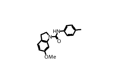 COc1ccc2c(c1)N(C(=O)Nc1ccc(C)cc1)CC2